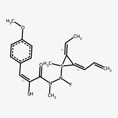 C=C/C=C1\C(=C/C)S1(C)N(F)N(C)C(=O)/C(S)=C\c1ccc(OC)cc1